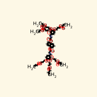 C=CCOOCCCOc1ccc(/C=C/C(=O)Oc2cccc3c(OC(=O)/C=C/c4ccc(OCCCOC(=O)C=C)c(OCCCOC(=O)C=C)c4OCCCOOCC=C)cccc23)c(OCCCOC(=O)C=C)c1OCCCOOCC=C